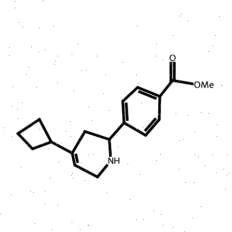 COC(=O)c1ccc(C2CC(C3CCC3)=CCN2)cc1